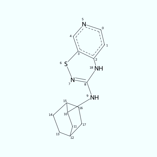 c1cc2c(cn1)SN=C(NC1CC3CCC1CC3)N2